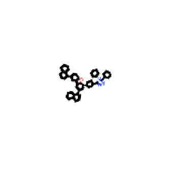 c1ccc(-c2nnc(-c3ccc(-c4cc(-c5cccc6ccccc56)cc5c4oc4ccc(-c6cccc7ccccc67)cc45)cc3)n2-c2ccccc2)cc1